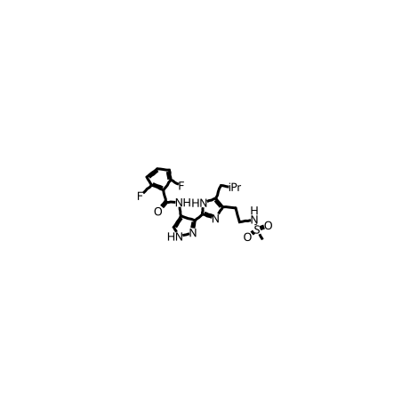 CC(C)Cc1[nH]c(-c2n[nH]cc2NC(=O)c2c(F)cccc2F)nc1CCNS(C)(=O)=O